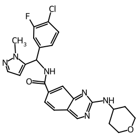 Cn1nccc1C(NC(=O)c1ccc2cnc(NC3CCOCC3)nc2c1)c1ccc(Cl)c(F)c1